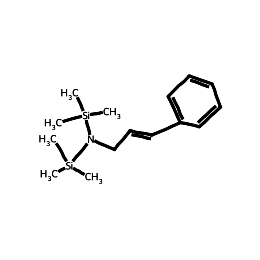 C[Si](C)(C)N(CC=Cc1ccccc1)[Si](C)(C)C